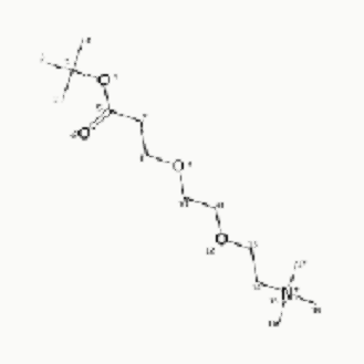 CC(C)(C)OC(=O)CCOCCOCC[N+](C)(C)C